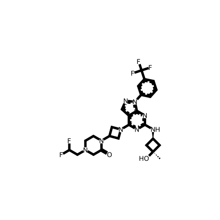 C[C@]1(O)C[C@@H](Nc2nc(N3CC(N4CCN(CC(F)F)CC4=O)C3)c3cnn(-c4cccc(C(F)(F)F)c4)c3n2)C1